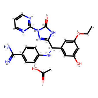 CC(=O)O.CCOc1cc(O)cc([C@H](Nc2ccc(C(=N)N)cc2)c2nn(-c3ncccn3)c(=O)[nH]2)c1